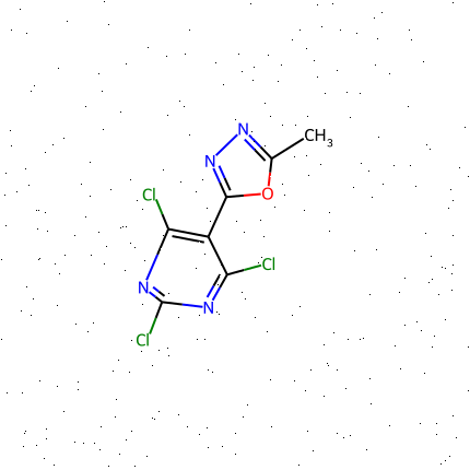 Cc1nnc(-c2c(Cl)nc(Cl)nc2Cl)o1